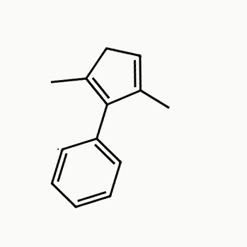 CC1=CCC(C)=C1c1[c]cccc1